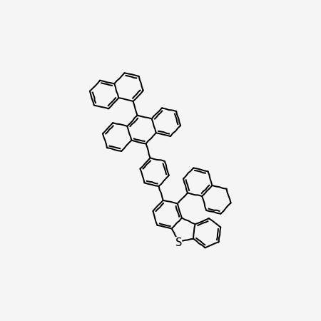 C1=Cc2c(cccc2-c2c(-c3ccc(-c4c5ccccc5c(-c5cccc6ccccc56)c5ccccc45)cc3)ccc3sc4ccccc4c23)CC1